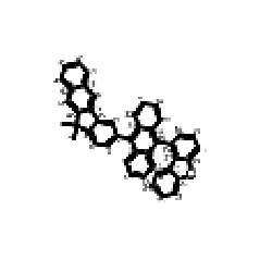 CC1(C)c2ccc(-c3c4ccccc4c(-c4cccc5oc6ccccc6c45)c4ccccc34)cc2-c2cc3ccccc3cc21